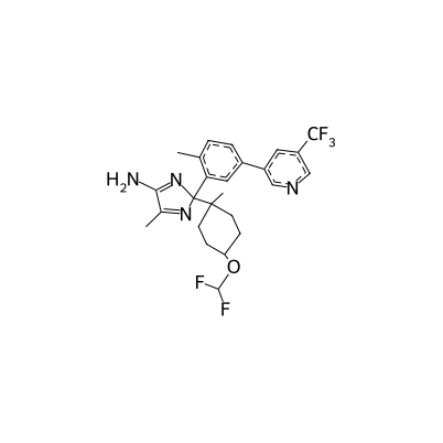 CC1=NC(c2cc(-c3cncc(C(F)(F)F)c3)ccc2C)(C2(C)CCC(OC(F)F)CC2)N=C1N